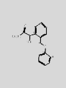 CNC(=O)C(O)c1ccccc1COc1ccccc1